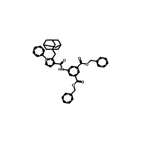 O=C(OCc1ccccc1)c1cc(NC(=O)c2ccn(-c3ccccc3)c2CC23CC4CC(CC(C4)C2)C3)cc(C(=O)OCc2ccccc2)c1